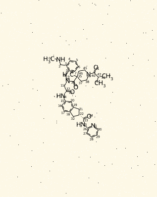 CNCc1ccccc1CN(CC(=O)Nc1ccc2c(c1)C[C@H](C(=O)Nc1ccccn1)C2)C(=O)C1(C)CCN(C(=O)C(C)C)CC1